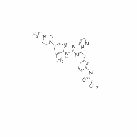 C=CC(=O)Nc1cccc(Sc2nc(Nc3ncc(N4CCN(C)CC4)cc3C)nc3ccnn23)c1